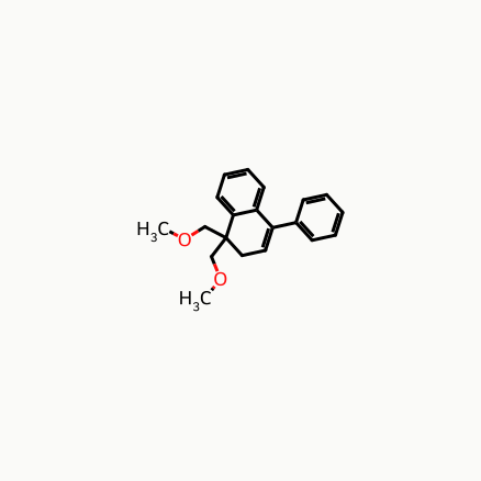 COCC1(COC)CC=C(c2ccccc2)c2ccccc21